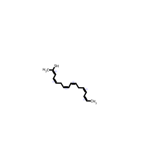 C/C=C\C=C/C/C=C\C=C/C/C=C\C=C(/C)S